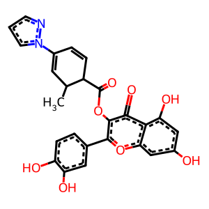 CC1C=C(n2cccn2)C=CC1C(=O)Oc1c(-c2ccc(O)c(O)c2)oc2cc(O)cc(O)c2c1=O